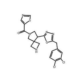 O=C(c1cncs1)N1CC(c2nnc(Cc3ccc(Cl)c(Cl)c3)o2)C2(CNC2)C1